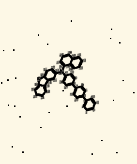 c1ccc(-c2ccc(-c3ccc(N(c4ccc5sc6ccccc6c5c4)c4cccc5ccccc45)cc3)cc2)cc1